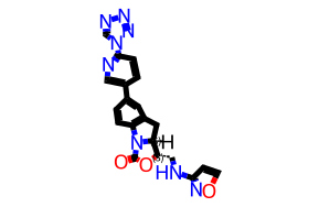 O=C1O[C@@H](CNc2ccon2)[C@@H]2Cc3cc(-c4ccc(-n5cnnn5)nc4)ccc3N12